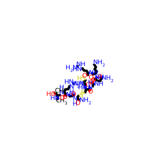 CNC(C(=O)NC(CCCNC(=N)N)C(=O)NCC(=O)NC(CSSCC(NC(=O)C(N)CS)C(=O)NCC(=O)NC(CC(N)=O)C(=O)NC(CCCCN)C(=O)NC(C=O)CCCNC(=N)N)C(N)=O)C(C)O